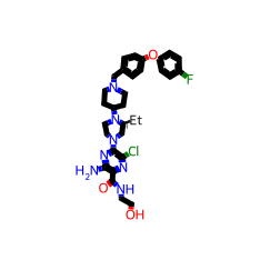 CC[C@H]1CN(c2nc(N)c(C(=O)NCCO)nc2Cl)CCN1C1CCN(Cc2ccc(Oc3ccc(F)cc3)cc2)CC1